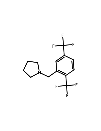 FC(F)(F)c1ccc(C(F)(F)F)c(CN2CCCC2)c1